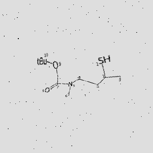 CC(S)CCN(C)C(=O)OC(C)(C)C